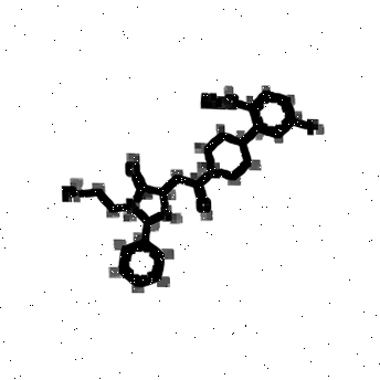 COc1ccc(F)cc1C1CCN(C(=O)CC2SC(c3ccccc3)N(CCC(C)C)C2=O)CC1